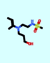 C/C=C(\C)N(CCCO)CCNS(C)(=O)=O